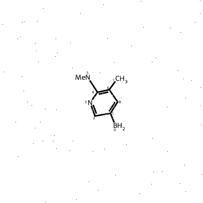 Bc1cnc(NC)c(C)c1